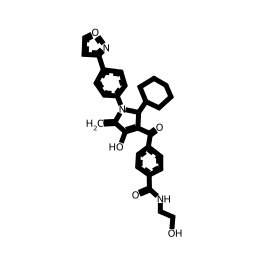 C=C1C(O)=C(C(=O)c2ccc(C(=O)NCCO)cc2)C(C2CCCCC2)N1c1ccc(-c2ccon2)cc1